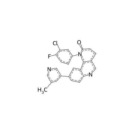 Cc1cncc(-c2ccc3ncc4ccc(=O)n(-c5ccc(F)c(Cl)c5)c4c3c2)c1